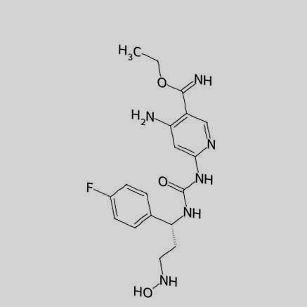 CCOC(=N)c1cnc(NC(=O)N[C@H](CCNO)c2ccc(F)cc2)cc1N